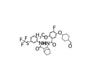 COc1cc(F)c(OC2CCC(C=O)CC2)cc1C(=O)NC1C2CCC(C2)C1C(=O)Nc1cccc(SC(F)(F)F)c1